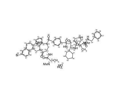 CN[C@@H](C)C(=O)N[C@H]1CN(C(=O)c2ccc(C(=O)N[C@@](NC(=O)[C@H](C)NC)(C(=O)[C@@H]3CN[C@H](C(=O)NCc4ccccc4)C3)C3CCCCC3)cc2)c2ccccc2N(Cc2c(OC)ccc3cc(Br)ccc23)C1=O.Cl.Cl